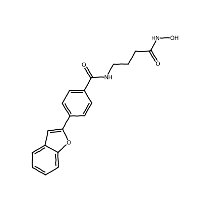 O=C(CCCNC(=O)c1ccc(-c2cc3ccccc3o2)cc1)NO